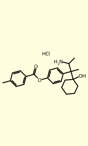 Cc1ccc(C(=O)Oc2ccc(C(C)(C(C)N)C3(O)CCCCC3)cc2)cc1.Cl